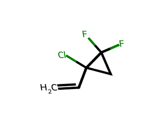 C=CC1(Cl)CC1(F)F